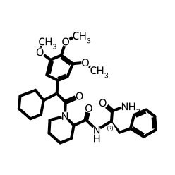 COc1cc(C(C(=O)N2CCCCC2C(=O)N[C@H](Cc2ccccc2)C(N)=O)C2CCCCC2)cc(OC)c1OC